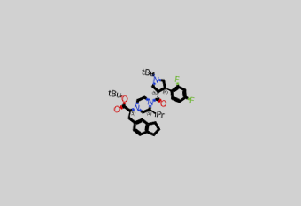 CC(C)[C@H]1CN([C@@H](Cc2ccc3c(c2)CCC3)C(=O)OC(C)(C)C)CCN1C(=O)[C@@H]1CN(C(C)(C)C)C[C@H]1c1ccc(F)cc1F